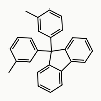 Cc1[c]ccc(C2(c3cc[c]c(C)c3)c3ccccc3-c3ccccc32)c1